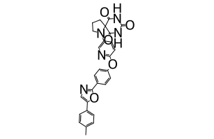 Cc1ccc(-c2cnc(-c3ccc(Oc4ccc(N5CCCC56C(=O)NC(=O)NC6=O)cn4)cc3)o2)cc1